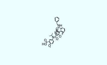 COc1ccc(N(C(=O)n2nnn(-c3c(F)cccc3C(=O)NCc3ccccc3)c2=O)C(C)C)cc1C(=O)O